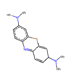 CCCN(CCC)[C]1C=CC2=Nc3ccc(N(CCC)CCC)cc3SC2=C1